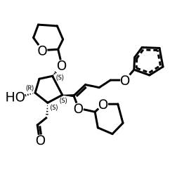 O=CC[C@H]1[C@H](C(=CCCOc2ccccc2)OC2CCCCO2)[C@@H](OC2CCCCO2)C[C@H]1O